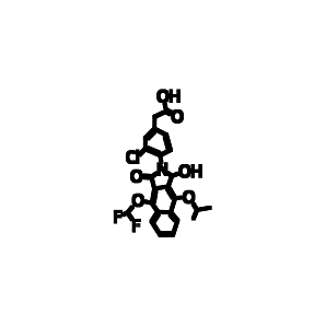 CC(C)Oc1c2c(c(OC(F)F)c3ccccc13)C(=O)N(c1ccc(CC(=O)O)cc1Cl)C2O